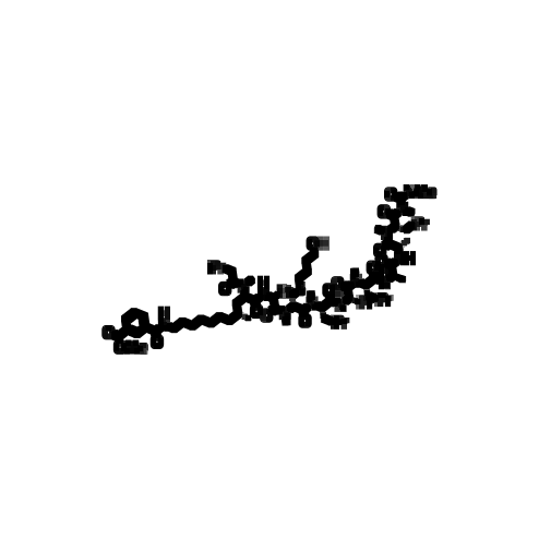 CC[C@H](NC(=O)C(C[C@H](C)CCCCCCCNC(=O)c1cccc(C(=O)OC)c1)N(C)C(=O)CC(C)C)C(=O)N(C)[C@H](CSCCCCO)C(=O)N(C)[C@@H](CC(C)C)C(=O)N[C@H](C(=O)N(C)[C@@H](CC(C)C)C(=O)N[C@H](C)C(=O)N[C@@H](C)C(=O)N(C)[C@@H](CC(C)C)C(=O)N(C)C(=O)NC)C(C)C